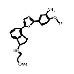 COCCNC1CCc2c(-c3nnc(-c4ccc(OC(C)C)c(N)c4)s3)cccc21